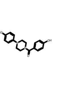 O=C(c1ccc(O)cc1)N1CCN(c2ccc(O)cc2)CC1